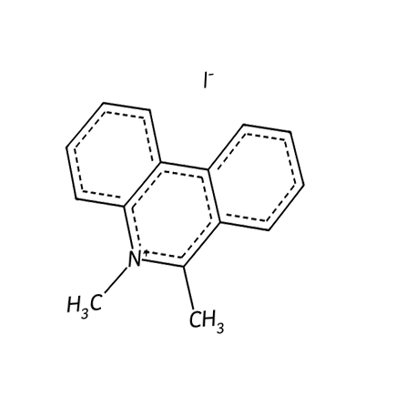 Cc1c2ccccc2c2ccccc2[n+]1C.[I-]